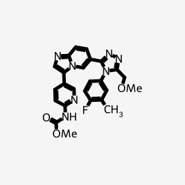 COCc1nnc(-c2ccc3ncc(-c4ccc(NC(=O)OC)nc4)n3c2)n1-c1ccc(F)c(C)c1